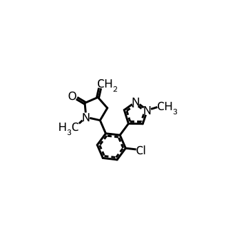 C=C1CC(c2cccc(Cl)c2-c2cnn(C)c2)N(C)C1=O